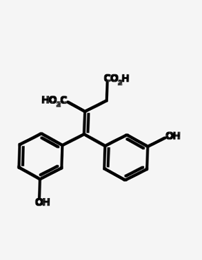 O=C(O)CC(C(=O)O)=C(c1cccc(O)c1)c1cccc(O)c1